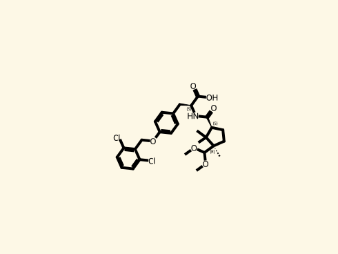 COC(OC)[C@]1(C)CC[C@H](C(=O)N[C@@H](Cc2ccc(OCc3c(Cl)cccc3Cl)cc2)C(=O)O)C1(C)C